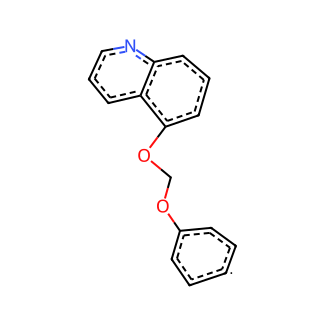 [c]1ccc(OCOc2cccc3ncccc23)cc1